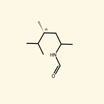 CC(C[C@@H](C)C(C)C)NC=O